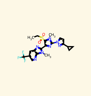 CCS(=O)(=O)c1c(-c2nc3cc(C(F)(F)F)cnc3n2C)nc(-n2ccc(C3CC3)n2)n1C